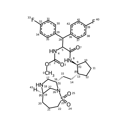 COC(=O)NC(C(=O)N[C@H]1CCC[C@@H]1CC[C@H]1CN[C@@H]2CCCS(=O)(=O)N1C2)C(c1ccc(F)cc1)c1ccc(F)cc1